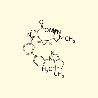 COC(=O)c1cnn(-c2cccc(-c3cccc(-n4ncc5c4C(C)(C)CC5)c3)c2)c1[C@@H]1C[C@H]1c1cn(C)nn1